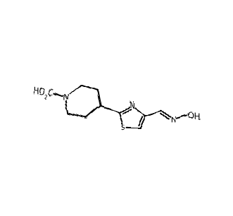 O=C(O)N1CCC(c2nc(/C=N/O)cs2)CC1